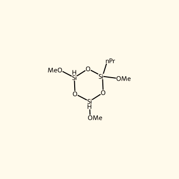 CCC[Si]1(OC)O[SiH](OC)O[SiH](OC)O1